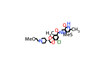 COCCN1CCC([C@H]2COc3c(Cl)cc(C(=O)NCc4c(SC)cc(C)[nH]c4=O)c(C)c3O2)CC1